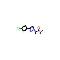 CC(C(=O)N(C)C)n1ccc(-c2ccc(Cl)cc2)n1